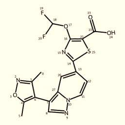 Cc1noc(C)c1-c1cnn2ccc(-c3nc(OC(F)F)c(C(=O)O)s3)cc12